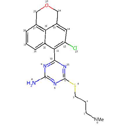 CNCCCSc1nc(N)nc(-c2c(Cl)cc3c4c(cccc24)COC3)n1